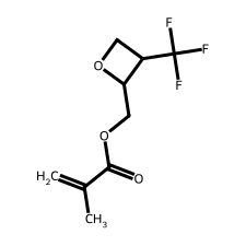 C=C(C)C(=O)OCC1OCC1C(F)(F)F